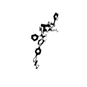 COCCOc1ccc(N2CCN(C(=O)[C@H](c3ccccc3)n3ncc4c3nc(N)n3nc(-c5ccco5)nc43)[C@H](C)C2)cc1